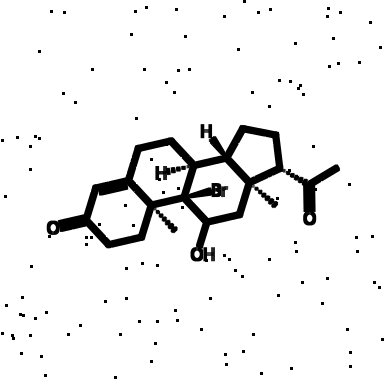 CC(=O)[C@H]1CC[C@H]2[C@@H]3CCC4=CC(=O)CC[C@]4(C)[C@@]3(Br)C(O)C[C@]12C